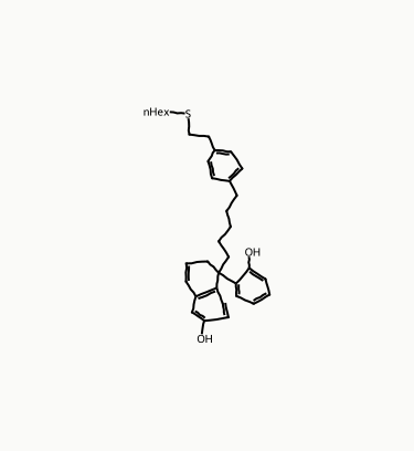 CCCCCCSCCc1ccc(CCCCCC2(c3ccccc3O)CC=Cc3cc(O)ccc32)cc1